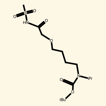 CC(C)N(CCCCOCC(=O)NS(C)(=O)=O)C(=O)OC(C)(C)C